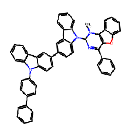 CN1c2c(oc3ccccc23)C(c2ccccc2)=NC1n1c2ccccc2c2cc(-c3ccc4c(c3)c3ccccc3n4-c3ccc(-c4ccccc4)cc3)ccc21